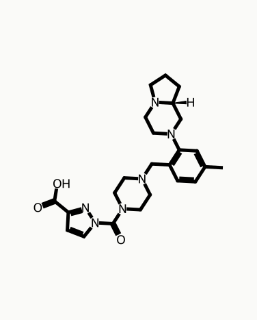 Cc1ccc(CN2CCN(C(=O)n3ccc(C(=O)O)n3)CC2)c(N2CCN3CCC[C@@H]3C2)c1